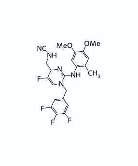 COc1cc(C)c(NC2=NC(CNC#N)C(F)=CN2Cc2cc(F)c(F)c(F)c2)cc1OC